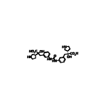 O=C(Nc1cccc(CC(O)(C(=O)O)[C@H]2CCNC2)c1)Nc1cccc(CC(O)(C(=O)O)[C@H]2CCNC2)c1